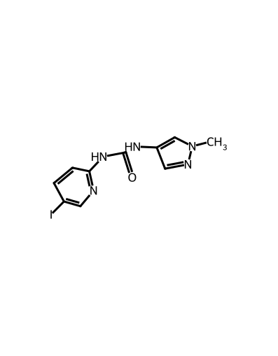 Cn1cc(NC(=O)Nc2ccc(I)cn2)cn1